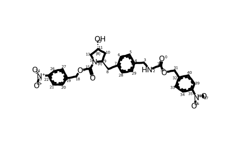 O=C(NCc1ccc(C[C@@H]2C[C@@H](O)CN2C(=O)OCc2ccc([N+](=O)[O-])cc2)cc1)OCc1ccc([N+](=O)[O-])cc1